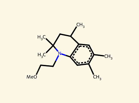 COCCN1c2cc(C)c(C)cc2C(C)CC1(C)C